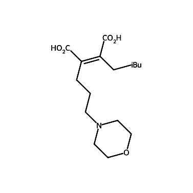 CCC(C)CC(C(=O)O)=C(CCCN1CCOCC1)C(=O)O